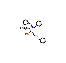 CCOC(=O)C(C(O)CCOCc1ccccc1)N(Cc1ccccc1)Cc1ccccc1